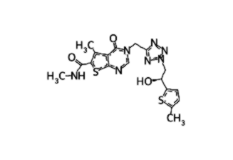 CNC(=O)c1sc2ncn(Cc3nnn(C[C@H](O)c4ccc(C)s4)n3)c(=O)c2c1C